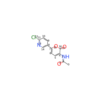 CC(=O)Nc1ccc(-c2ccc(Cl)nc2)oc1=O